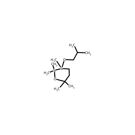 CC(C)CO[Si]1(C)CCC(C)(C)O[Si]1(C)C